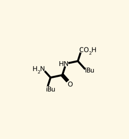 CCC(C)C(N)C(=O)NC(C(=O)O)C(C)CC